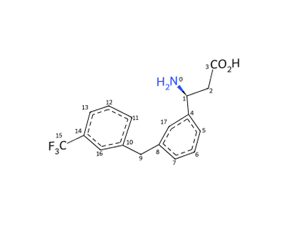 N[C@@H](CC(=O)O)c1cccc(Cc2cccc(C(F)(F)F)c2)c1